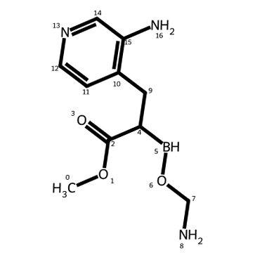 COC(=O)C(BOCN)Cc1ccncc1N